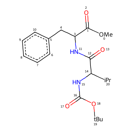 COC(=O)C(Cc1ccccc1)NC(=O)C(NC(=O)OC(C)(C)C)C(C)C